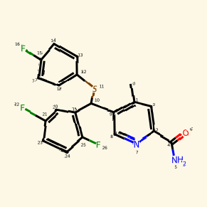 Cc1cc(C(N)=O)ncc1C(Sc1ccc(F)cc1)c1cc(F)ccc1F